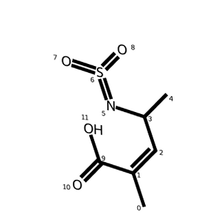 CC(=CC(C)N=S(=O)=O)C(=O)O